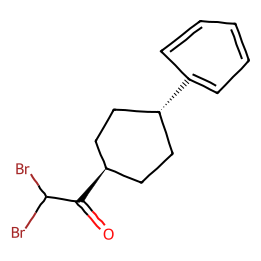 O=C(C(Br)Br)[C@H]1CC[C@H](c2ccccc2)CC1